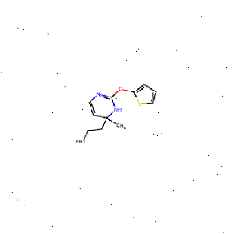 CC(C)(C)CCC1(C)C=CN=C(Oc2cccs2)N1